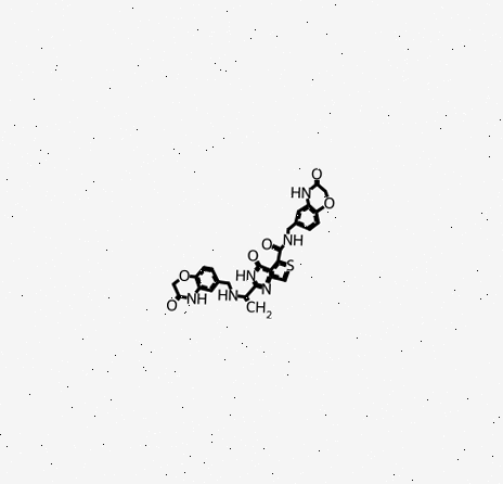 C=C(NCc1ccc2c(c1)NC(=O)CO2)c1nc2csc(C(=O)NCc3ccc4c(c3)NC(=O)CO4)c2c(=O)[nH]1